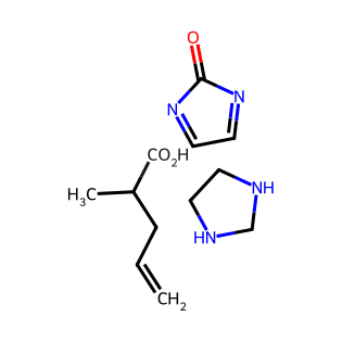 C1CNCN1.C=CCC(C)C(=O)O.O=C1N=CC=N1